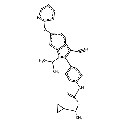 CC(C)n1c(-c2ccc(NC(=O)O[C@H](C)C3CC3)cc2)c(C#N)c2ccc(Oc3cnccn3)cc21